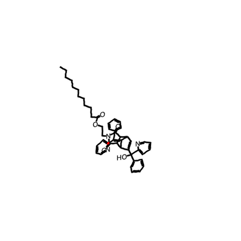 CCCCCCCCCCCC(=O)OCCN1C(=O)C2C3C=C(C(O)(c4ccccc4)c4ccccn4)C(C3=C(c3ccccc3)c3ccccn3)C2C1=O